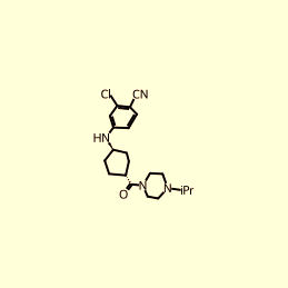 CC(C)N1CCN(C(=O)[C@H]2CC[C@H](Nc3ccc(C#N)c(Cl)c3)CC2)CC1